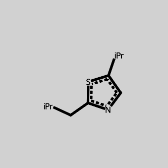 CC(C)Cc1ncc(C(C)C)s1